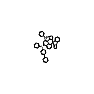 c1ccc(-c2ccc(N(c3ccccc3)c3cc4c5c6c(cccc36)C3(c6ccccc6-c6ccccc63)c3cccc(c35)n4-c3ccccc3)cc2)cc1